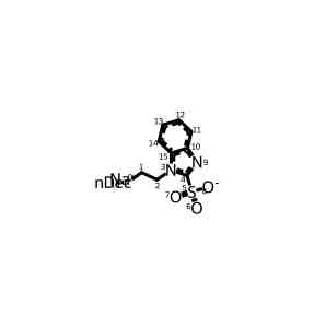 CCCCCCCCCCCCn1c(S(=O)(=O)[O-])nc2ccccc21.[Na+]